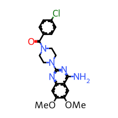 COc1cc2nc(N3CCN(C(=O)c4ccc(Cl)cc4)CC3)nc(N)c2cc1OC